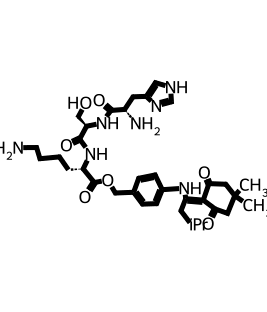 CC(C)CC(Nc1ccc(COC(=O)[C@H](CCCCN)NC(=O)[C@@H](CO)NC(=O)[C@@H](N)Cc2c[nH]cn2)cc1)=C1C(=O)CC(C)(C)CC1=O